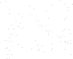 [Nb+5].[O-2].[O-2].[O-2].[O-2].[OH-].[OH-].[OH-].[OH-].[Ti+4].[Y+3]